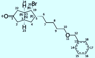 O=C1C[C@@H]2C[C@@H](CCCCCOCc3ccccc3)[C@@H](Br)[C@@H]2C1